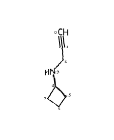 C#CCNC1CCC1